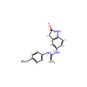 C=C(Nc1ccc(OC)cc1)Nc1ccc2c(c1)CC(=O)N2